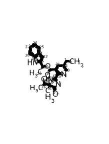 CCc1cnc(C2=NC(=O)C(C)(C(C)C)N2)c(C(=O)OC(C)c2cc3ccccc3[nH]2)c1